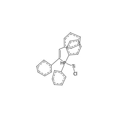 [Cl][Ti][PH](C(=Cc1ccccc1)c1ccccc1)(c1ccccc1)c1ccccc1